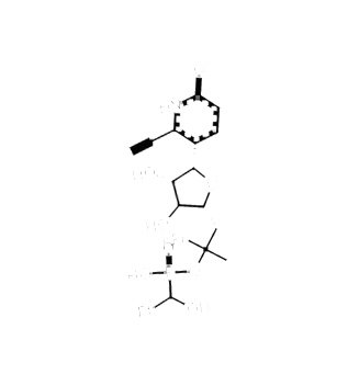 C#Cc1[nH]c(=O)ccc1[C@@H]1O[C@H](CC(C)(CCC)OP(=O)(O)C(O)CC)C(O)[C@@H]1O